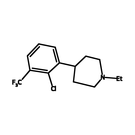 CCN1CCC(c2cccc(C(F)(F)F)c2Cl)CC1